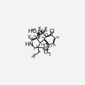 COC(=O)C1(CF)CNC(C)=C(C(=O)O)C1c1c(F)ccc(Cl)c1C(F)(F)F